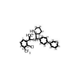 C[C@@]1([C@@H](NC(=O)c2cccc(C(F)(F)F)c2Cl)c2ccc(-c3cccnc3)cc2)CCCCN1